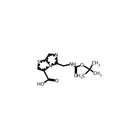 CC(C)(C)OC(=O)NCc1ncc2scc(C(=O)O)n12